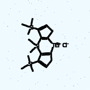 C[Si](C)(C)C1=CC[C]2=C1[Si](C)(C)C1=[C](CC=C1[Si](C)(C)C)[Ti+2]2.[Cl-].[Cl-]